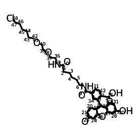 O=C(CCCCCNC(=O)c1ccc(C(=O)O)c(-c2c3ccc(=O)cc-3oc3cc(O)ccc23)c1)NCCOCCOCCCCCCCl